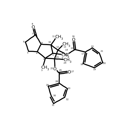 CC1C2(C)C3CCC(=O)C3C1(C)C(C)(OC(=O)c1ccccc1)C2(C)OC(=O)c1ccccc1